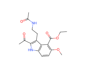 CCOC(=O)c1c(OC)ccc2[nH]c(C(C)=O)c(CCNC(C)=O)c12